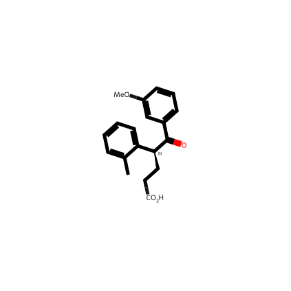 COc1cccc(C(=O)[C@@H](CCC(=O)O)c2ccccc2C)c1